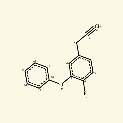 C#CCc1ccc(F)c(Oc2ccccc2)c1